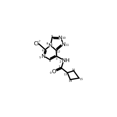 O=C(Nc1cnc(Cl)n2cnnc12)C1CCC1